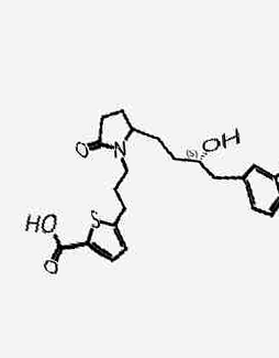 O=C(O)c1ccc(CCCN2C(=O)CCC2CC[C@H](O)Cc2cccc(F)c2)s1